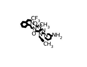 CC#CCn1c(N2CCCC(N)C2)nc2c1c(=O)n(Cc1nc(C(F)(F)F)cc3ccccc13)c(=O)n2C